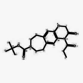 CCC(=O)N1C(=O)COc2cc3c(cc21)CCN(C(=O)OC(C)(C)C)CC3